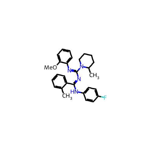 COc1ccccc1/N=C(/N=C(/Nc1ccc(F)cc1)c1ccccc1C)N1CCCCC1C